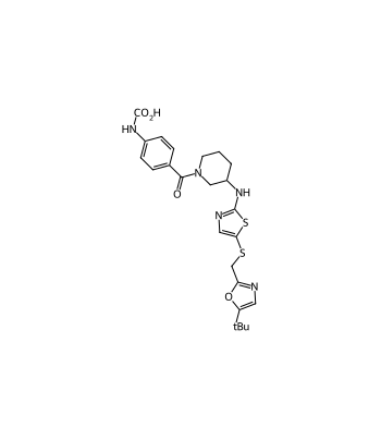 CC(C)(C)c1cnc(CSc2cnc(NC3CCCN(C(=O)c4ccc(NC(=O)O)cc4)C3)s2)o1